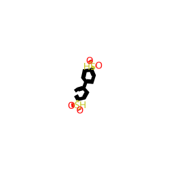 C=C(/C=C\C(=C/C)c1ccc([SH](=O)=O)cc1)[SH](=O)=O